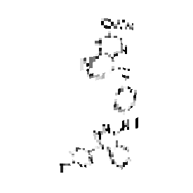 COc1cnc2c(Oc3ccc(Nc4nnc(-c5ccc(F)cc5)c5ccccc45)cc3)ccnc2c1